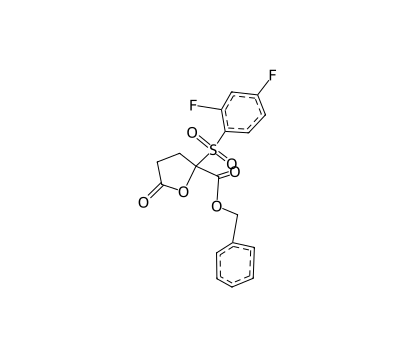 O=C1CCC(C(=O)OCc2ccccc2)(S(=O)(=O)c2ccc(F)cc2F)O1